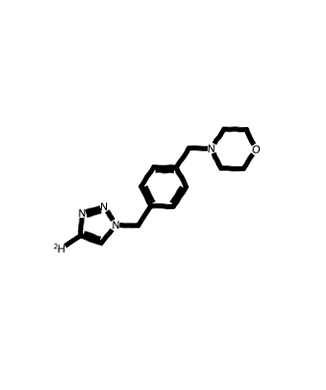 [2H]c1cn(Cc2ccc(CN3CCOCC3)cc2)nn1